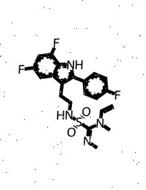 C=CN(C)/C(=N\C)S(=O)(=O)NCCc1c(-c2ccc(F)cc2)[nH]c2c(F)cc(F)cc12